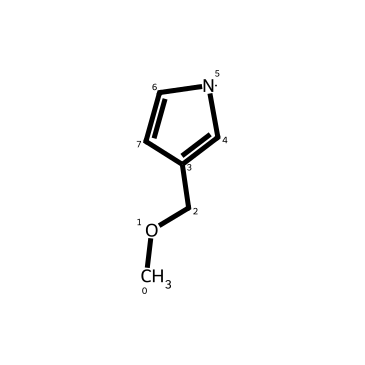 COCC1=C[N]C=C1